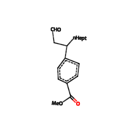 CCCCCCCC(CC=O)c1ccc(C(=O)OC)cc1